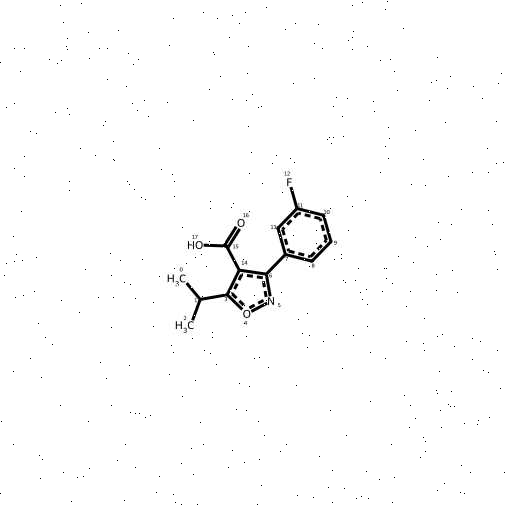 CC(C)c1onc(-c2cccc(F)c2)c1C(=O)O